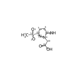 CS(=O)(=O)c1ccc(=N)n(CC(=O)O)n1